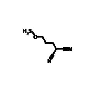 N#CC(C#N)CCCO[SiH3]